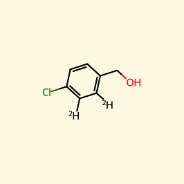 [2H]c1c(Cl)ccc(CO)c1[2H]